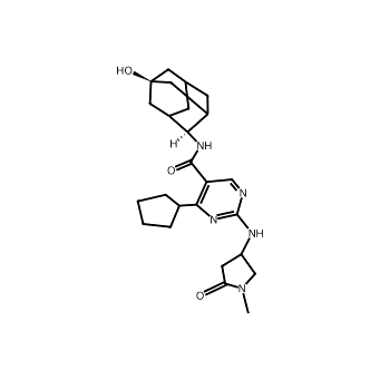 CN1CC(Nc2ncc(C(=O)N[C@H]3C4CC5CC3C[C@@](O)(C5)C4)c(C3CCCC3)n2)CC1=O